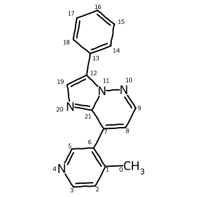 Cc1ccncc1-c1ccnn2c(-c3ccccc3)cnc12